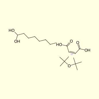 CC(C)(C)OC(C)(C)C.CCCCCCCC(O)O.O=C(O)/C=C\C(=O)O